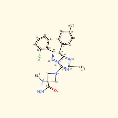 CCNC1(C(N)=O)CN(c2nc(C)nc3c(-c4ccc(CC)cc4)c(-c4ccccc4Cl)nn23)C1